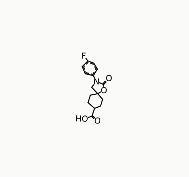 O=C(O)C1CCC2(CC1)CN(c1ccc(F)cc1)C(=O)O2